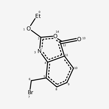 CCOc1nc2c(CBr)cccc2c(=O)o1